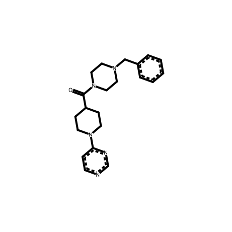 O=C(C1CCN(c2ccncn2)CC1)N1CCN(Cc2ccccc2)CC1